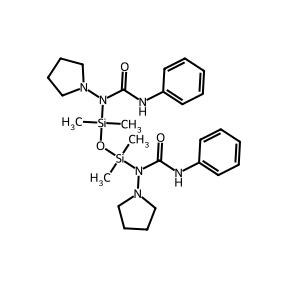 C[Si](C)(O[Si](C)(C)N(C(=O)Nc1ccccc1)N1CCCC1)N(C(=O)Nc1ccccc1)N1CCCC1